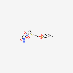 Cc1ccc(S(=O)(=O)OCCCCCSc2cccc3c2C(=O)N(C2CCC(=O)NC2=O)C3=O)cc1